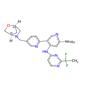 CC(=O)Nc1cc(Nc2ccnc(C(C)(F)F)n2)c(-c2ccc(CN3C[C@H]4C[C@@H]3CO4)cn2)cn1